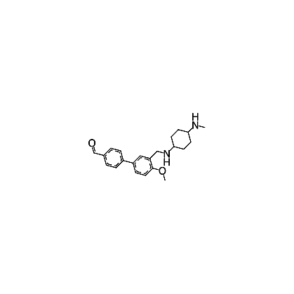 CNC1CCC(NCc2cc(-c3ccc(C=O)cc3)ccc2OC)CC1